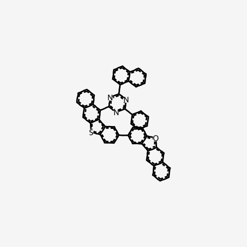 c1ccc(-c2nc(-c3cccc4ccccc34)nc(-c3c4ccccc4cc4sc5ccc(-c6ccc7oc8cc9ccccc9cc8c7c6)cc5c34)n2)cc1